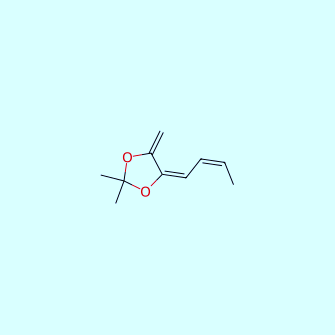 C=C1OC(C)(C)O/C1=C/C=C\C